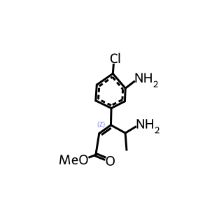 COC(=O)/C=C(/c1ccc(Cl)c(N)c1)C(C)N